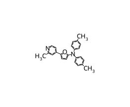 Cc1ccc(N(c2ccc(C)cc2)c2ccc(-c3ccnc(C)c3)o2)cc1